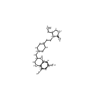 O=C1OCC(CO)N1CCC1CCN(CC2COc3c(F)cc(F)cc3O2)CC1